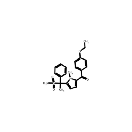 CCOc1ccc(C(=O)c2ccc(C(C)(c3ccccc3)S(N)(=O)=O)n2C)cc1